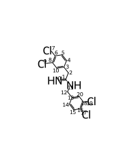 N=C(Cc1ccc(Cl)c(Cl)c1)NCc1ccc(Cl)c(Cl)c1